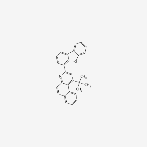 CS(C)(C)c1cc(-c2cccc3c2oc2ccccc23)nc2ccc3ccccc3c12